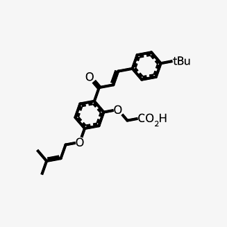 CC(C)=CCOc1ccc(C(=O)C=Cc2ccc(C(C)(C)C)cc2)c(OCC(=O)O)c1